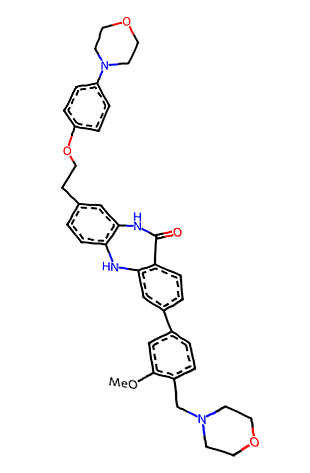 COc1cc(-c2ccc3c(c2)Nc2ccc(CCOc4ccc(N5CCOCC5)cc4)cc2NC3=O)ccc1CN1CCOCC1